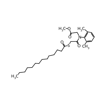 CCCCCCCCCCCCCC(=O)SCC(=O)N(CC(=O)OC)c1c(C)cccc1C